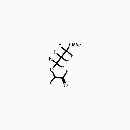 COC(F)(F)C(F)(F)C(F)(F)OC(C)C(=O)F